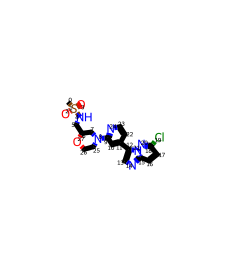 CS(=O)(=O)NCC1CN(c2cc(-c3cnc4ccc(Cl)nn34)ccn2)CCO1